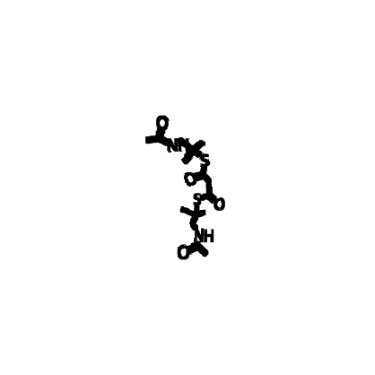 CC(=O)NCC(C)(C)SC(=O)CC(=O)SC(C)(C)CNC(C)=O